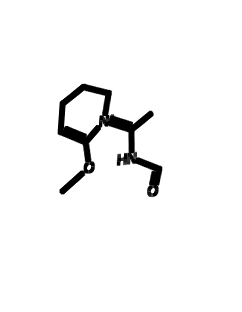 COC1=CCCC[N+]1=C(C)NC=O